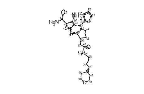 NC(=O)c1sc2nc3c(c(-c4cccs4)c2c1N)CCC3CC(=O)NCCCN1CCOCC1